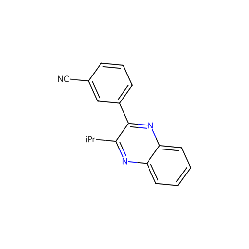 CC(C)c1nc2ccccc2nc1-c1cccc(C#N)c1